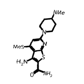 CNC1CCN(c2cc(SC)c3c(N)c(C(N)=O)sc3n2)CC1